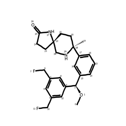 CO[C@@H](c1cc(CF)cc(CF)c1)c1cccc([C@]2(C)CC[C@]3(CCC(=O)N3)CN2)c1